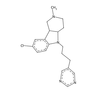 CN1CCC2C(C1)c1cc(Cl)ccc1N2CCCc1cncnc1